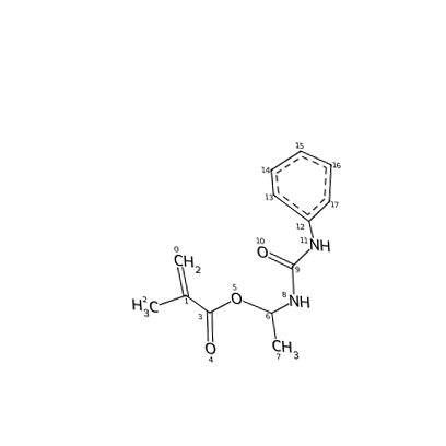 C=C(C)C(=O)OC(C)NC(=O)Nc1ccccc1